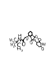 CC(C)(C)NC(=O)COc1cccc2c1C(=O)N(C1CCC(=O)NC1=O)C2=O